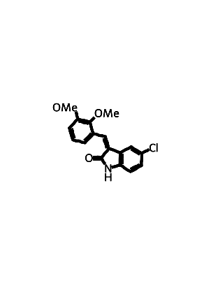 COc1cccc(C=C2C(=O)Nc3ccc(Cl)cc32)c1OC